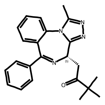 Cc1nnc2n1-c1ccccc1C(c1ccccc1)=N[C@H]2CC(=O)C(C)(C)C